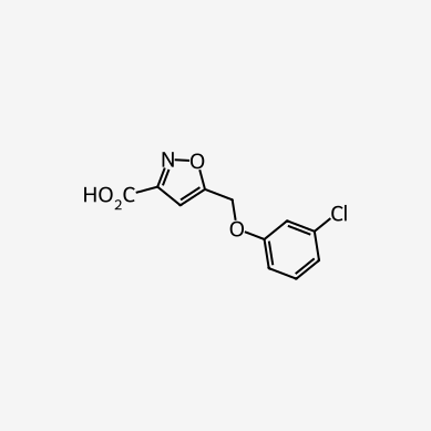 O=C(O)c1cc(COc2cccc(Cl)c2)on1